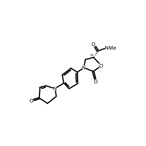 CNC(=O)[C@H]1CN(c2ccc(N3C=CC(=O)CC3)cc2)C(=O)O1